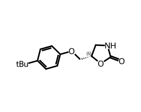 CC(C)(C)c1ccc(OC[C@@H]2CNC(=O)O2)cc1